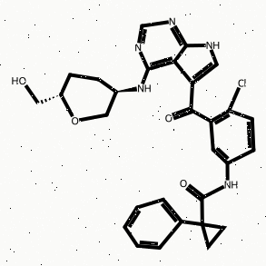 O=C(c1cc(NC(=O)C2(c3ccccc3)CC2)ccc1Cl)c1c[nH]c2ncnc(N[C@@H]3CC[C@@H](CO)OC3)c12